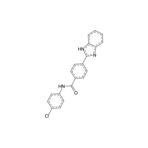 O=C(Nc1ccc(Cl)cc1)c1ccc(-c2nc3ccccc3[nH]2)cc1